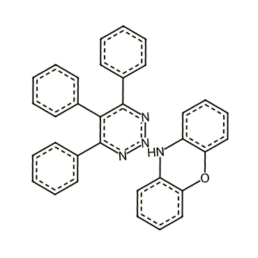 c1ccc(-c2nnnc(-c3ccccc3)c2-c2ccccc2)cc1.c1ccc2c(c1)Nc1ccccc1O2